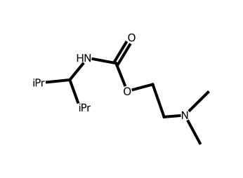 CC(C)C(NC(=O)OCCN(C)C)C(C)C